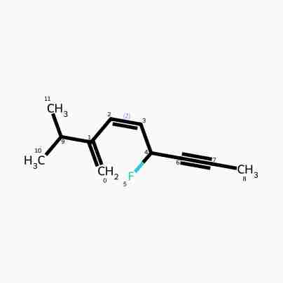 C=C(/C=C\C(F)C#CC)C(C)C